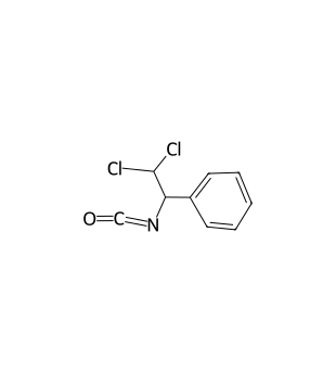 O=C=NC(c1ccccc1)C(Cl)Cl